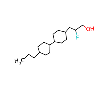 CCCC1CCC(C2CCC(CC(F)CO)CC2)CC1